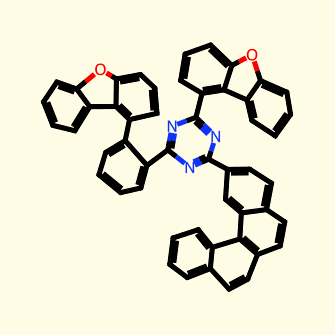 c1ccc(-c2cccc3oc4ccccc4c23)c(-c2nc(-c3ccc4ccc5ccc6ccccc6c5c4c3)nc(-c3cccc4oc5ccccc5c34)n2)c1